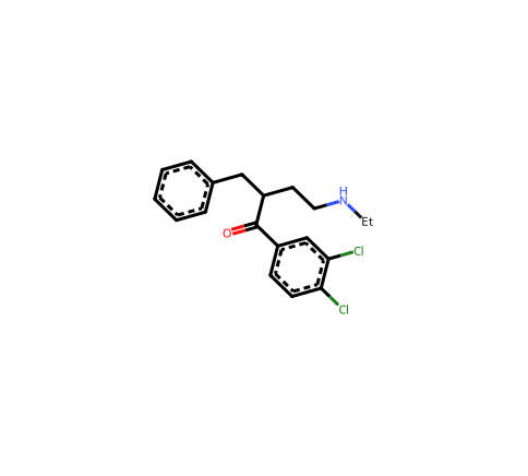 CCNCCC(Cc1ccccc1)C(=O)c1ccc(Cl)c(Cl)c1